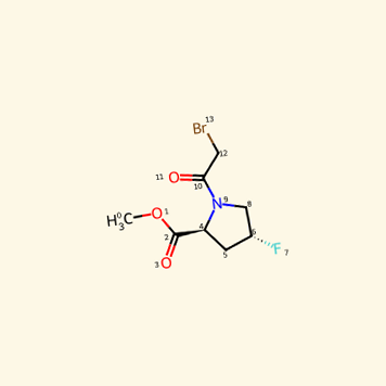 COC(=O)[C@@H]1C[C@@H](F)CN1C(=O)CBr